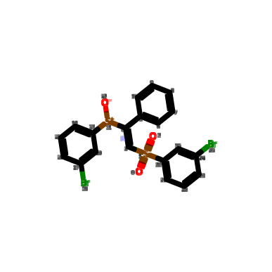 O=S(=O)(/C=C(\c1ccccc1)[S+]([O-])c1cccc(Br)c1)c1cccc(Br)c1